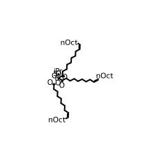 CCCCCCCC/C=C\CCCCCCCC(=O)[O][Ti](=[O])([O]C(C)C)([C](=O)CCCCCCC/C=C\CCCCCCCC)[C](=O)CCCCCCC/C=C\CCCCCCCC